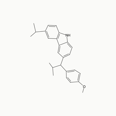 COc1ccc(C(c2ccc3[nH]c4ccc(C(C)C)cc4c3c2)C(C)C)cc1